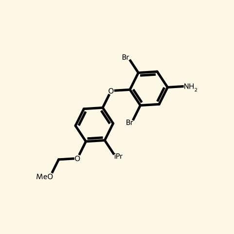 COCOc1ccc(Oc2c(Br)cc(N)cc2Br)cc1C(C)C